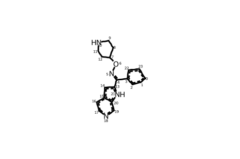 c1ccc(C(=NOC2CCNCC2)c2cc3ccncc3[nH]2)cc1